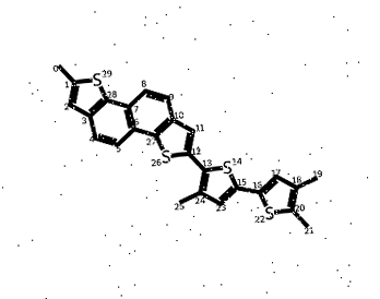 Cc1cc2ccc3c(ccc4cc(-c5sc(-c6cc(C)c(C)s6)cc5C)sc43)c2s1